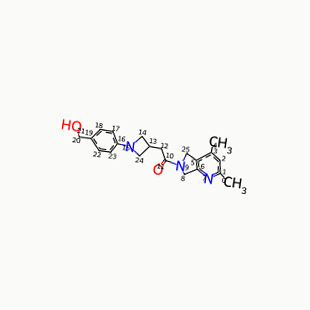 Cc1cc(C)c2c(n1)CN(C(=O)CC1CN(c3ccc(CO)cc3)C1)C2